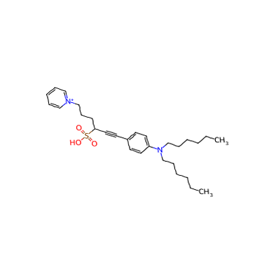 CCCCCCN(CCCCCC)c1ccc(C#CC(CCC[n+]2ccccc2)S(=O)(=O)O)cc1